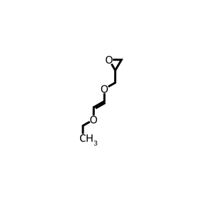 CCOC=COCC1CO1